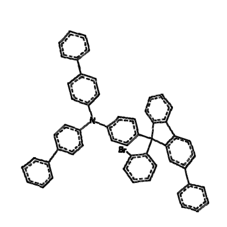 Brc1ccccc1C1(c2ccc(N(c3ccc(-c4ccccc4)cc3)c3ccc(-c4ccccc4)cc3)cc2)c2ccccc2-c2ccc(-c3ccccc3)cc21